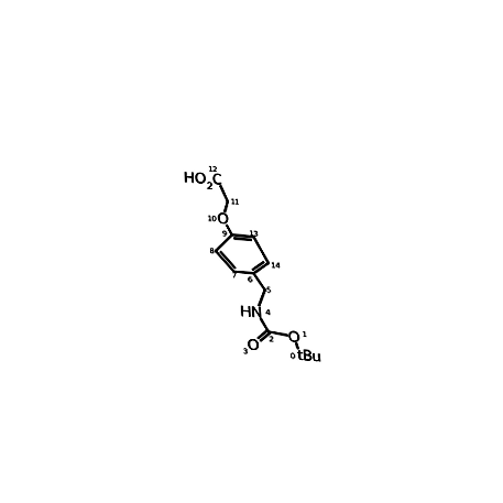 CC(C)(C)OC(=O)NCc1ccc(OCC(=O)O)cc1